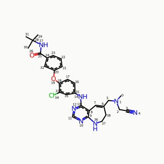 CN(CC#N)CC1=Cc2c(ncnc2Nc2ccc(Oc3cccc(C(=O)NC(C)(C)C)c3)c(Cl)c2)NCC1